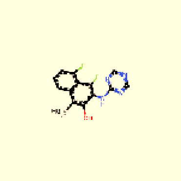 O=S(=O)(O)c1c(O)c(Nc2ncncn2)c(F)c2c(F)cccc12